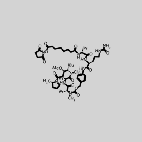 CC[C@H](C)[C@@H]([C@@H](CC(=O)N1CCC[C@H]1C)OC)N(C)C(=O)[C@@H](NC(=O)[C@H](C(C)C)N(C)C(=O)OCc1ccc(NC(=O)[C@H](CCCNC(N)=O)NC(=O)[C@@H](NC(=O)CCCCCCC(=O)ON2C(=O)CCC2=O)C(C)C)cc1)C(C)C